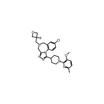 COc1ccc(C)nc1N1CCC(c2nnc3n2-c2ccc(Cl)cc2CN(CC2(F)COC2)C3)CC1